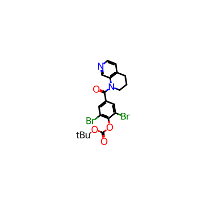 CC(C)(C)OC(=O)Oc1c(Br)cc(C(=O)N2CCCc3ccncc32)cc1Br